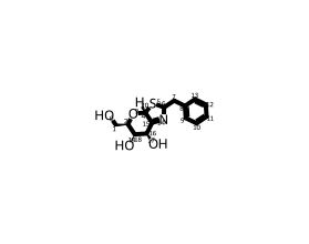 OC[C@H]1O[C@@H]2SC(Cc3ccccc3)N=C2[C@@H](O)[C@@H]1O